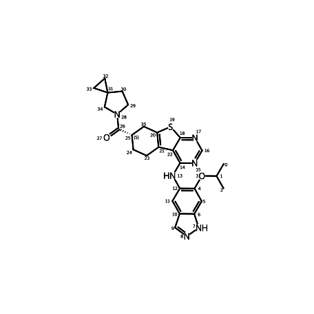 CC(C)Oc1cc2[nH]ncc2cc1Nc1ncnc2sc3c(c12)CC[C@H](C(=O)N1CCC2(CC2)C1)C3